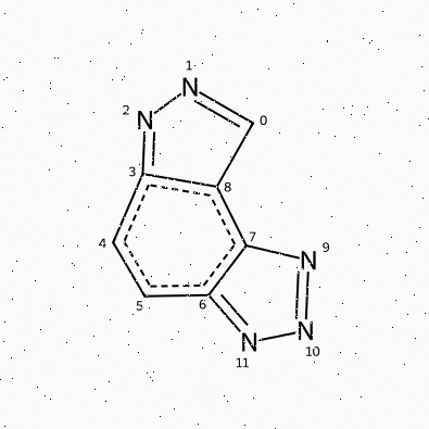 C1=NN=c2ccc3c(c21)N=NN=3